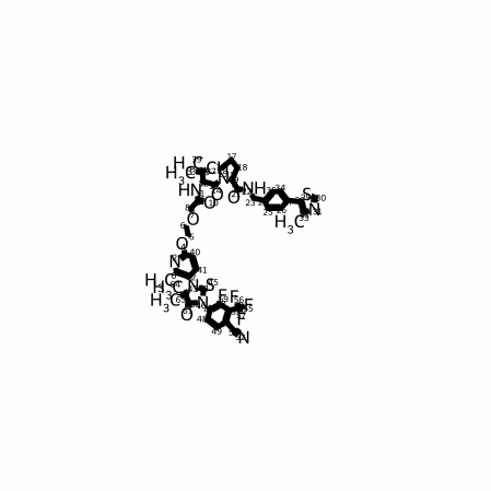 Cc1nc(OCCOCC(=O)NC(C(=O)N2CCCC2C(=O)NCc2ccc(-c3scnc3C)cc2)C(C)(C)C)ccc1N1C(=S)N(c2ccc(C#N)c(C(F)(F)F)c2F)C(=O)C1(C)C